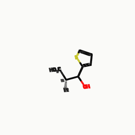 CC[C@H](C(=O)O)C(O)c1cccs1